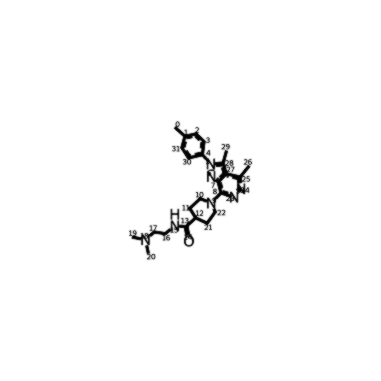 Cc1ccc(-n2nc3c(N4CCC(C(=O)NCCN(C)C)CC4)nnc(C)c3c2C)cc1